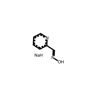 ON=Cc1ccccn1.[NaH]